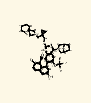 C#Cc1c(F)ccc2cc(O)cc(-c3c(SC(F)(F)F)cc4c(N5CC6CCC(C5)N6)nc(OCC5(CN6CC7(CCCCO7)C6)CC5)nc4c3F)c12